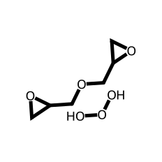 C(OCC1CO1)C1CO1.OOO